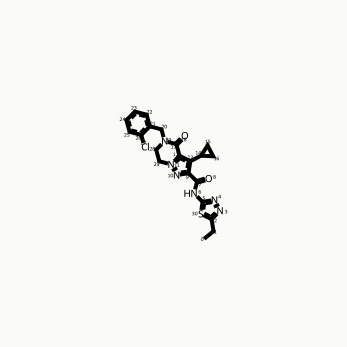 CCc1nnc(NC(=O)c2nn3c(c2C2CC2)C(=O)N(Cc2ccccc2Cl)CC3)s1